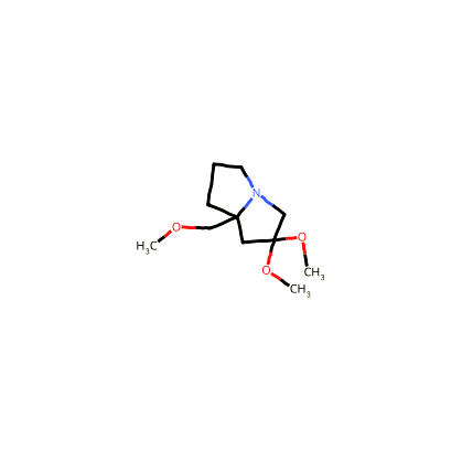 COCC12CCCN1CC(OC)(OC)C2